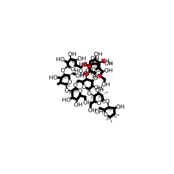 CC1C(O)[C@H](O[C@@H]2OC(CO[C@]3(C(=O)O)C[C@@H](O)[C@@H](N)C([C@H](O)[C@H](O)CO)O3)[C@H](O)[C@H](O)C2O)[C@H](CO)O[C@H]1O[C@@H]1C(O)[C@H](O)C(CO)O[C@@H]1OCC1O[C@@H](O[C@@H]2C(CO)O[C@@H](O[C@@H]3C(CO)O[C@@H](C)[C@@H](C)C3O)[C@@H](C)C2O)[C@H](O)C(O[C@H]2O[C@H](CO)[C@@H](O)C(O)C2O)[C@@H]1O